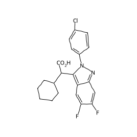 O=C(O)C(c1c2cc(F)c(F)cc2nn1-c1ccc(Cl)cc1)C1CCCCC1